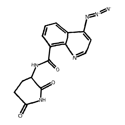 [N-]=[N+]=Nc1ccnc2c(C(=O)NC3CCC(=O)NC3=O)cccc12